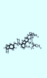 CC(C)OCc1c2c(nc3sc4c(NCCc5ccc6[nH]cnc6c5)ncnc4c13)CC(C)(C)OC2